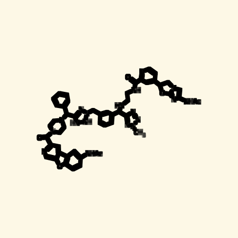 CC(=O)Nc1ccc2oc3cnc(C(=O)N4CCN(C(C5=NN(Cc6cccc(C(NCCNC(=O)c7cc(C8Cn9cc(NC(C)=O)nc9O8)ccn7)c7nnn(C)n7)c6)NN5)c5ccccc5)CC4)cc3c2c1